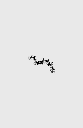 CCOC(C)COC(=O)C(C)(C)CC(C)(C)C(=O)OCC(C)OC(C)(C)C(=O)OCC(C)OC(C)C